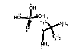 CC(C)(N)CN.O=P(O)(O)O